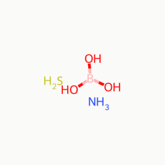 N.OB(O)O.S